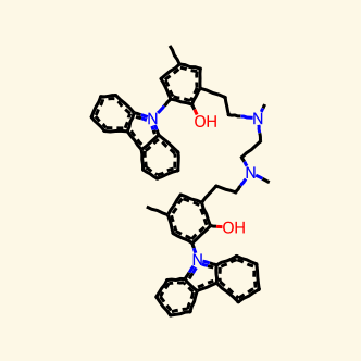 Cc1cc(CCN(C)CCN(C)CCc2cc(C)cc(-n3c4ccccc4c4ccccc43)c2O)c(O)c(-n2c3ccccc3c3ccccc32)c1